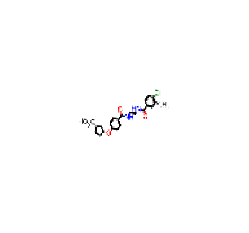 Cc1cc(C(=O)NCCNC(=O)c2ccc(O[C@@H]3CC[C@H](C(=O)O)C3)cc2)ccc1Cl